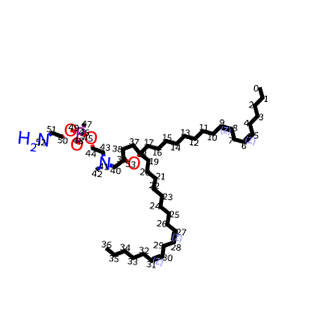 CCCCC/C=C\C/C=C\CCCCCCCCC1(CCCCCCCC/C=C\C/C=C\CCCCC)CCC(CN(C)CCOP(C)(=O)OCCN)O1